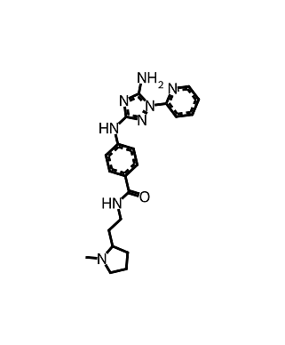 CN1CCCC1CCNC(=O)c1ccc(Nc2nc(N)n(-c3ccccn3)n2)cc1